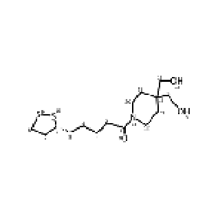 O=C(CCCC[C@@H]1CCSS1)N1CCC(CO)(CO)CC1